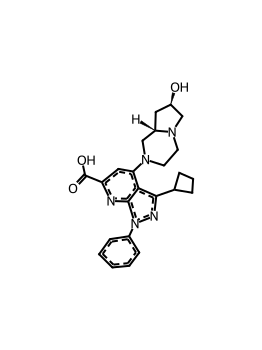 O=C(O)c1cc(N2CCN3C[C@H](O)C[C@H]3C2)c2c(C3CCC3)nn(-c3ccccc3)c2n1